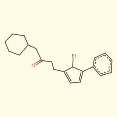 CCC1C(CCC(=O)CC2CCCCC2)=CC=C1c1ccccc1